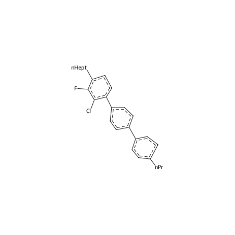 CCCCCCCc1ccc(-c2ccc(-c3ccc(CCC)cc3)cc2)c(Cl)c1F